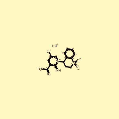 Cl.N=c1c(C(N)=O)cc(Cl)cn1C1CCS(=O)(=O)c2ccccc21